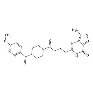 COc1ccc(C(=O)C2CCN(C(=O)CCCc3nc4c(C)scc4c(=O)[nH]3)CC2)nn1